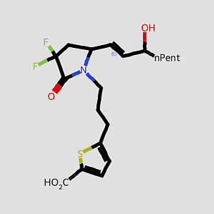 CCCCCC(O)/C=C/C1CC(F)(F)C(=O)N1CCCc1ccc(C(=O)O)s1